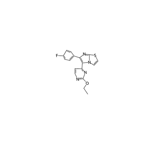 CCOc1nccc(-c2c(-c3ccc(F)cc3)nc3sccn23)n1